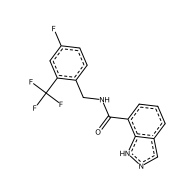 O=C(NCc1ccc(F)cc1C(F)(F)F)c1cccc2cn[nH]c12